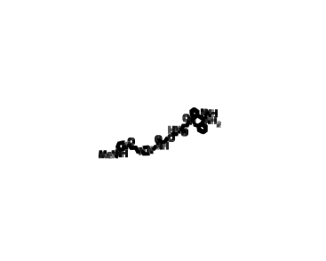 CNN[C@@H]1CCCN(C(=O)/C=C/CN2CCN(CCNC(=O)CCOCCNC(=O)CCC(=O)N3Cc4ccccc4/C(N)=C(/N=N)c4ccccc43)CC2)C1